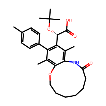 Cc1ccc(-c2c(C)c3c(c(C)c2[C@H](OC(C)(C)C)C(=O)O)NC(=O)CCCCCCO3)cc1